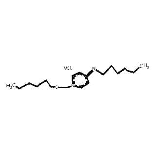 CCCCCCCCn1ccc(=NCCCCCC)cc1.Cl